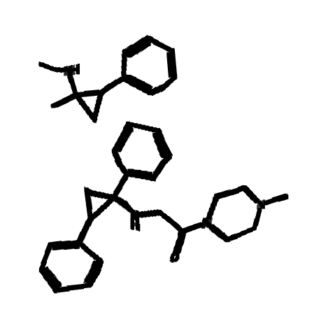 CN1CCN(C(=O)CNC2(c3ccccc3)CC2c2ccccc2)CC1.CNC1(C)CC1c1ccccc1